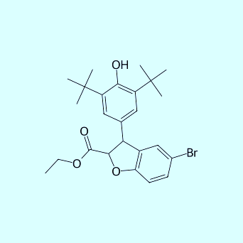 CCOC(=O)C1Oc2ccc(Br)cc2C1c1cc(C(C)(C)C)c(O)c(C(C)(C)C)c1